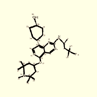 C[C@@H](CC(F)(F)F)Nc1ncc2c(OC3CC(C)(C)N(C)C(C)(C)C3)ncc([C@H]3CC[C@H](O)CC3)c2n1